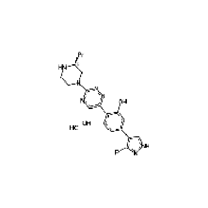 CC(C)[C@H]1CN(c2ncc(-c3ccc(-c4c[nH]nc4F)cc3O)nn2)CCN1.Cl.Cl